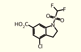 O=C(O)c1cc(Cl)c2c(c1)N(S(=O)(=O)C(F)F)CC2